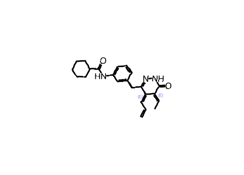 C=C/C=c1/c(Cc2cccc(NC(=O)C3CCCCC3)c2)n[nH]c(=O)/c1=C/C